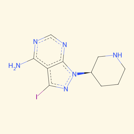 Nc1ncnc2c1c(I)nn2[C@@H]1CCCNC1